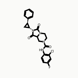 O=C(Nc1ccc(F)cc1Cl)N1CCN2C(=O)N([C@@H]3C[C@H]3c3ccccc3)C(=O)C2C1